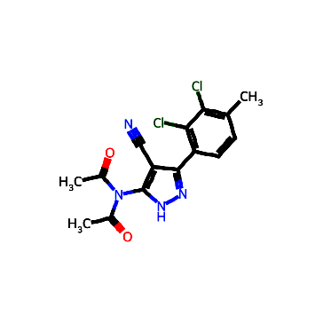 CC(=O)N(C(C)=O)c1[nH]nc(-c2ccc(C)c(Cl)c2Cl)c1C#N